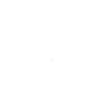 CC(C)CCCCP(c1ccccc1)c1ccccc1